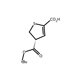 CC(C)(C)OC(=O)[C@H]1C=C(C(=O)O)SC1